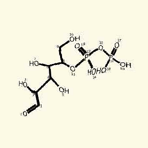 O=CC(O)C(O)C(O)C(CO)OP(=O)(O)OP(=O)(O)O